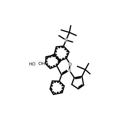 Cc1cc([O][Ti]([C]2=C(C(C)(C)C)C=CC2)=[C](c2ccccc2)c2ccccc2)cc([Si](C)(C)C(C)(C)C)c1.Cl.Cl